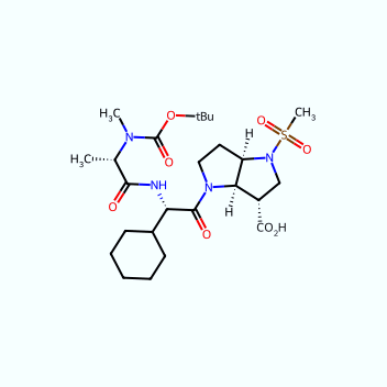 C[C@@H](C(=O)N[C@H](C(=O)N1CC[C@@H]2[C@H]1[C@@H](C(=O)O)CN2S(C)(=O)=O)C1CCCCC1)N(C)C(=O)OC(C)(C)C